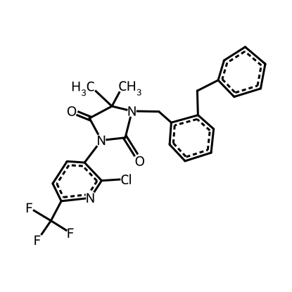 CC1(C)C(=O)N(c2ccc(C(F)(F)F)nc2Cl)C(=O)N1Cc1ccccc1Cc1ccccc1